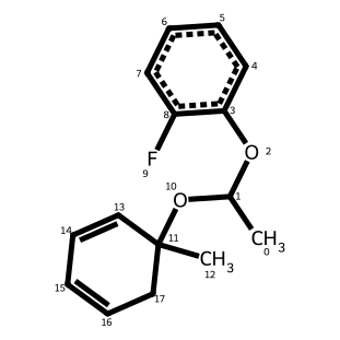 CC(Oc1ccccc1F)OC1(C)C=CC=CC1